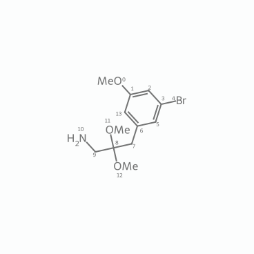 COc1cc(Br)cc(CC(CN)(OC)OC)c1